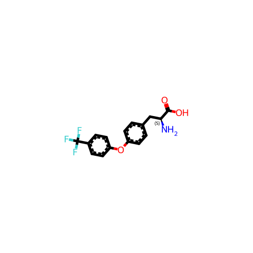 N[C@@H](Cc1ccc(Oc2ccc(C(F)(F)F)cc2)cc1)C(=O)O